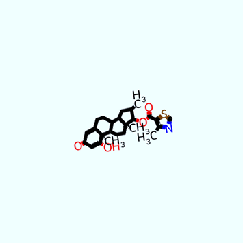 Cc1ncsc1C(=O)OC1C(C)CC2C3CCC4=CC(=O)C=C(O)[C@]4(C)C3CC[C@@]21C